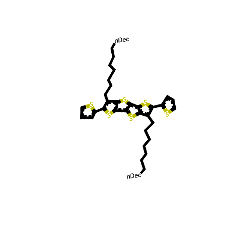 CCCCCCCCCCCCCCCCCc1c(-c2cccs2)sc2c1sc1c3sc(-c4cccs4)c(CCCCCCCCCCCCCCCCC)c3sc21